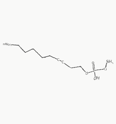 CCCCCCCCCCCCCCCCCCOP(=O)(O)O[SiH3]